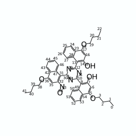 CCCCOc1cc(O)c(-c2nc(-c3c(O)cc(OCCCC)c4ccccc34)nc(-c3c(N=O)cc(OCCCC)c4ccccc34)n2)c2ccccc12